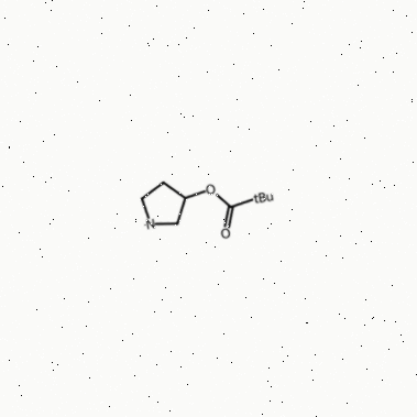 CC(C)(C)C(=O)OC1CC[N]C1